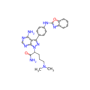 CN(C)CCCC(C(N)=O)n1nc(-c2ccc(Nc3nc4ccccc4o3)cc2)c2c(N)ncnc21